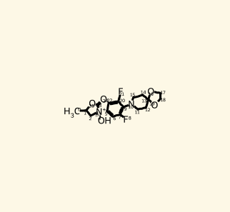 CC1C[N@+](O)(c2cc(F)c(N3CCC4(CC3)OCCO4)c(F)c2)C(=O)O1